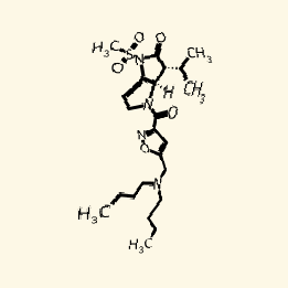 CCCCN(CCCC)Cc1cc(C(=O)N2CC=C3[C@H]2[C@@H](C(C)C)C(=O)N3S(C)(=O)=O)no1